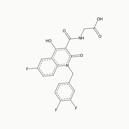 O=C(O)CNC(=O)c1c(O)c2cc(F)ccc2n(Cc2ccc(F)c(F)c2)c1=O